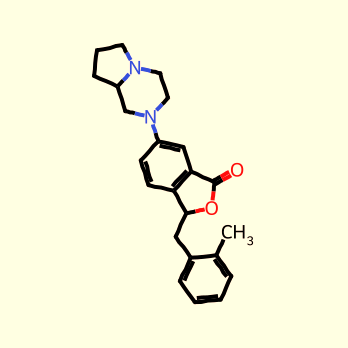 Cc1ccccc1CC1OC(=O)c2cc(N3CCN4CCCC4C3)ccc21